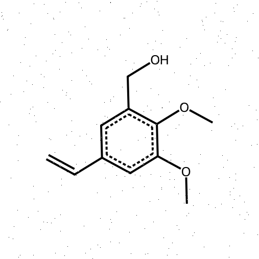 C=Cc1cc(CO)c(OC)c(OC)c1